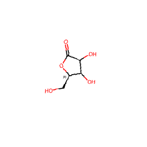 O=C1O[C@H](CO)C(O)C1O